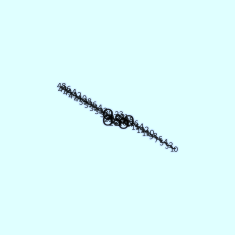 CCCCCCCCCCCCCCCCCCOC(=O)CC(C)SC(C)CC(=O)OCCCCCCCCCCCCCCCCCC